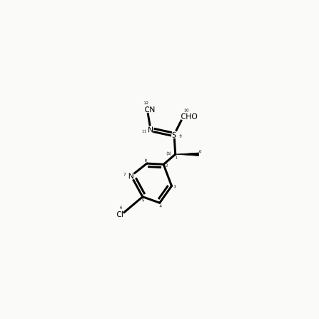 C[C@@H](c1ccc(Cl)nc1)S(C=O)=NC#N